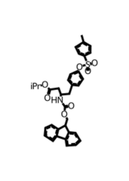 Cc1ccc(S(=O)(=O)Oc2ccc(CC(CC(=O)OC(C)C)NC(=O)OCC3c4ccccc4-c4ccccc43)cc2)cc1